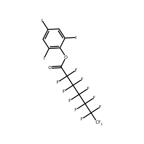 O=C(Oc1c(I)cc(I)cc1I)C(F)(F)C(F)(F)C(F)(F)C(F)(F)C(F)(F)C(F)(F)F